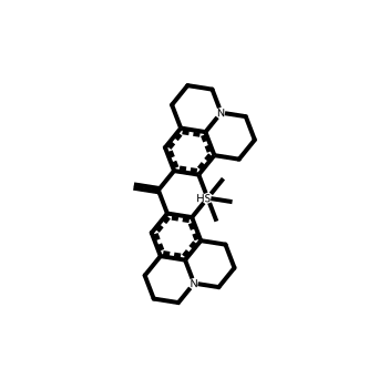 C=C1c2cc3c4c(c2[SH](C)(C)(C)c2c1cc1c5c2CCCN5CCC1)CCCN4CCC3